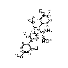 C#CC(N)(c1nc(-c2ccc(OC)cc2Cl)c(C)s1)[C@@H](CC1CC1)c1ccc(C)c(F)c1.Cl